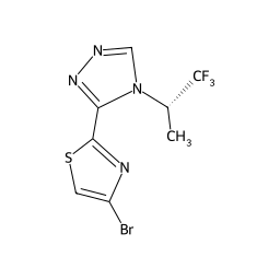 C[C@H](n1cnnc1-c1nc(Br)cs1)C(F)(F)F